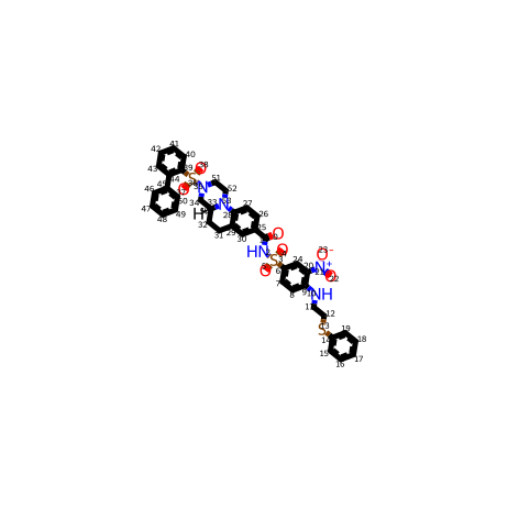 O=C(NS(=O)(=O)c1ccc(NCCSc2ccccc2)c([N+](=O)[O-])c1)c1ccc2c(c1)CC[C@H]1CN(S(=O)(=O)c3ccccc3-c3ccccc3)CCN21